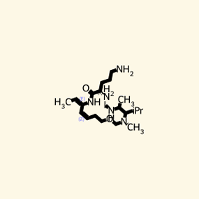 C/C=C(\C=C/CCOCN(C)C(C(C)C)C(C)NI)NC(=O)[C@@H](N)CCCN